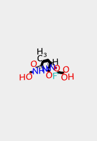 CC1=C[C@@H]2CN(C(=O)N2OC(F)C(=O)O)[C@@H]1C(=O)NCO